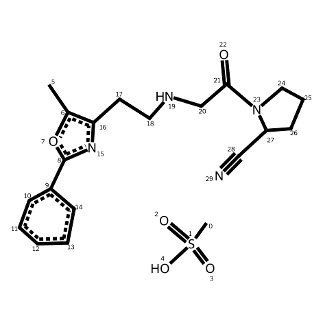 CS(=O)(=O)O.Cc1oc(-c2ccccc2)nc1CCNCC(=O)N1CCCC1C#N